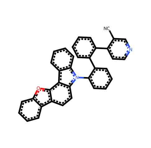 N#Cc1cnccc1-c1ccccc1-c1ccccc1-n1c2ccccc2c2c3oc4ccccc4c3ccc21